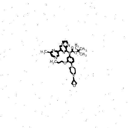 CCCOc1cc(N(C(=O)OC(C)(C)C)c2nc(-c3cncc(C)n3)cn3ccnc23)ccc1N1CCN(C2COC2)CC1